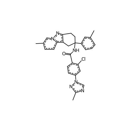 Cc1cccc(C2(NC(=O)c3ccc(-n4cnc(C)n4)cc3Cl)CCc3nn4cc(C)ccc4c3C2)c1